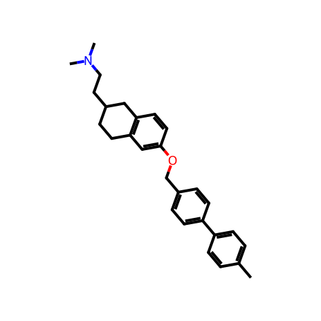 Cc1ccc(-c2ccc(COc3ccc4c(c3)CCC(CCN(C)C)C4)cc2)cc1